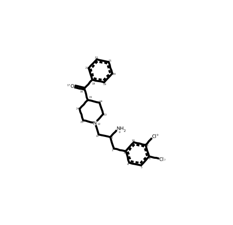 NC(Cc1ccc(Cl)c(Cl)c1)CN1CCC(C(=O)c2ccccc2)CC1